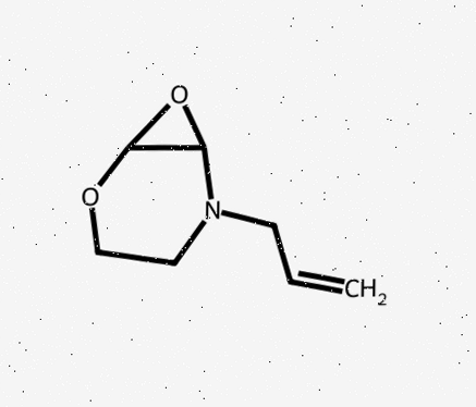 C=CCN1CCOC2OC21